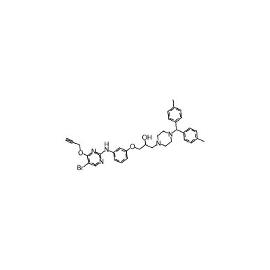 C#CCOc1nc(Nc2cccc(OCC(O)CN3CCN(C(c4ccc(C)cc4)c4ccc(C)cc4)CC3)c2)ncc1Br